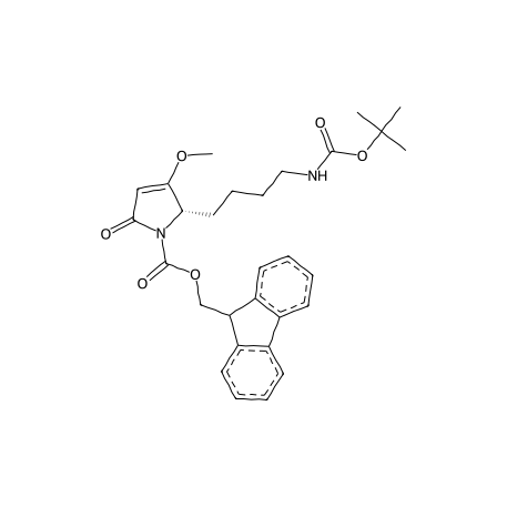 COC1=CC(=O)N(C(=O)OCC2c3ccccc3-c3ccccc32)[C@H]1CCCCNC(=O)OC(C)(C)C